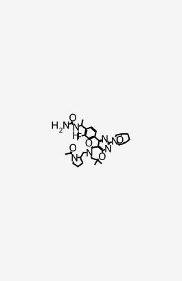 CC(=O)N1CCCC1CN1CC(C)(C)Oc2nc(N3CC4CCC(C3)O4)nc(-c3ccc(C(C)NC(N)=O)c(F)c3)c2C1=O